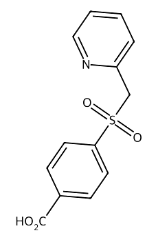 O=C(O)c1ccc(S(=O)(=O)Cc2ccccn2)cc1